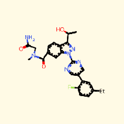 CCc1ccc(F)c(-c2cnc(-n3nc(C(C)O)c4ccc(C(=O)N(C)CC(N)=O)cc43)nc2)c1